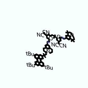 CC(C)(CC1=CC(=C(C#N)C#N)C=C(/C=C/c2cc3c4c(c2)CCC(CC(C)(C)c2cc5cc(C(C)(C)C)cc6c7cc(C(C)(C)C)cc8cc(C(C)(C)C)cc(c(c2)c56)c87)N4CCC3)O1)C1=CC(=C(C#N)C#N)C=C(/C=C/c2cc3c4c(c2)C(C)(C)CCN4CCC3(C)C)O1